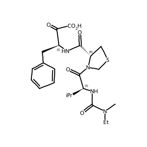 CCN(C)C(=O)N[C@H](C(=O)N1CSC[C@H]1C(=O)N[C@@H](Cc1ccccc1)C(=O)C(=O)O)C(C)C